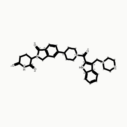 O=C1CCC(N2Cc3cc(C4CCN(C(=O)c5[nH]c6ccccc6c5CN5CCOCC5)CC4)ccc3C2=O)C(=O)N1